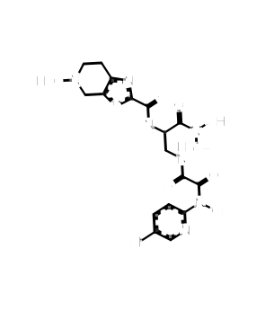 CN1CCc2nc(C(=O)NC(CNC(=O)C(=O)N(C)c3ccc(Cl)cn3)C(=O)N(C)C)sc2C1